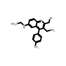 Cc1ccc(-c2c(CN)c(CC(C)C)nc3ccc(NCC(=O)O)cc23)cc1